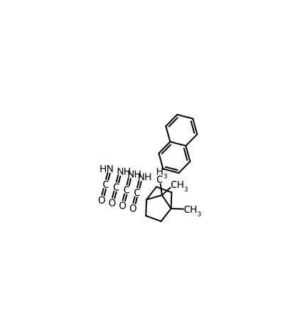 CC12CCC(CC1)C2(C)C.N=C=O.N=C=O.N=C=O.N=C=O.c1ccc2ccccc2c1